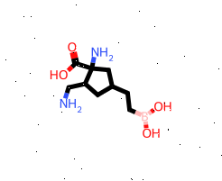 NCC1CC(CCB(O)O)CC1(N)C(=O)O